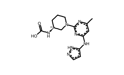 Cc1cc(Nc2ccn[nH]2)nc(N2CCC[C@H](NC(=O)O)C2)n1